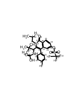 CC(C)Cn1c(C(NC(=O)O)C(C)(C)C)c(-c2ccc(F)cc2)c2cc(OS(=O)(=O)C(F)(F)F)ccc2c1=O